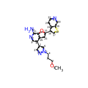 COCCCn1cc(-c2cnc(N)c3oc(-c4csc5cnccc45)cc23)cn1